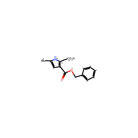 CC(C)(C)c1cc(C(=O)OCc2ccccc2)c(C(=O)O)[nH]1